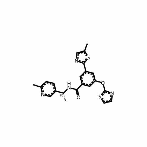 Cc1ccc([C@@H](C)NC(=O)c2cc(Oc3nccs3)cc(-c3ncc(C)s3)c2)cn1